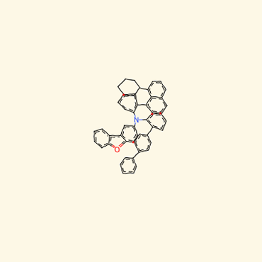 c1ccc(-c2ccc(-c3ccccc3N(c3ccc4oc5ccccc5c4c3)c3ccccc3-c3cccc4cccc(C5CCCCC5)c34)cc2)cc1